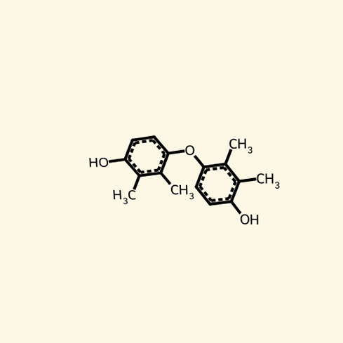 Cc1c(O)ccc(Oc2ccc(O)c(C)c2C)c1C